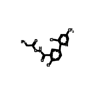 CC(C)CC(=O)ONC(=O)c1cc(-c2ncc(C(F)(F)F)cc2Cl)ccc1Cl